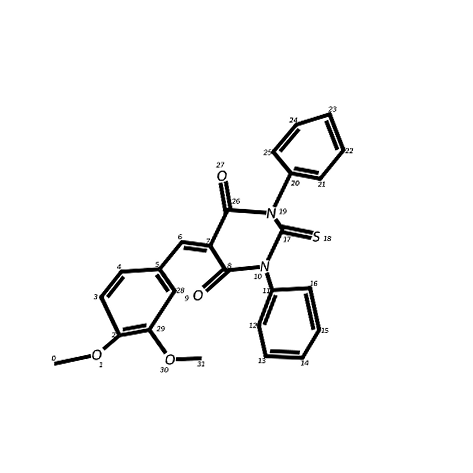 COc1ccc(C=C2C(=O)N(c3ccccc3)C(=S)N(c3ccccc3)C2=O)cc1OC